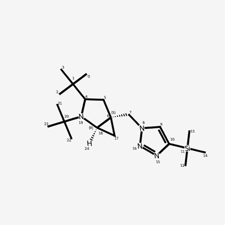 CC(C)(C)C1C[C@@]2(Cn3cc([Si](C)(C)C)nn3)C[C@H]2N1C(C)(C)C